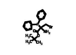 CC(C)(C)OC(=O)C(N)(CBr)P(c1ccccc1)c1ccccc1